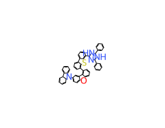 C1=CC2c3ccccc3N(c3ccc4oc5cccc(-c6cccc7c6sc6c(C8N=C(c9ccccc9)NC(c9ccccc9)N8)cccc67)c5c4c3)C2C=C1